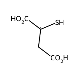 O=C(O)C[C](S)C(=O)O